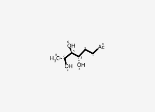 CC(=O)CC[C@H](O)[C@H](O)[C@@H](C)O